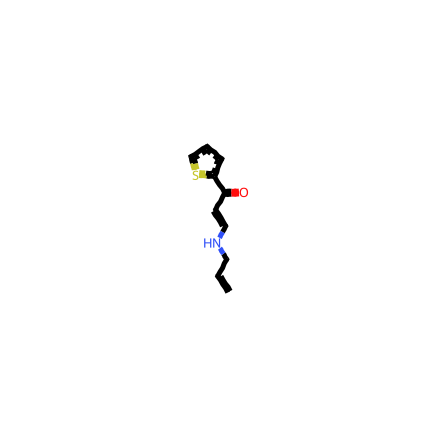 C=CCNC=CC(=O)c1cccs1